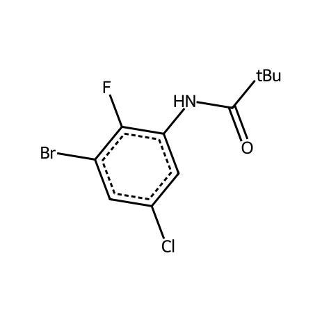 CC(C)(C)C(=O)Nc1cc(Cl)cc(Br)c1F